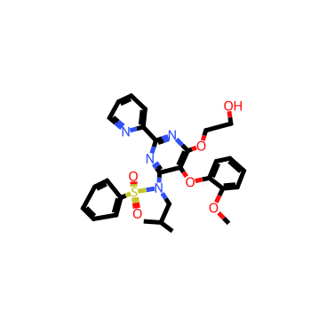 COc1ccccc1Oc1c(OCCO)nc(-c2ccccn2)nc1N(CC(C)C)S(=O)(=O)c1ccccc1